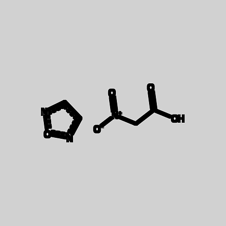 O=C(O)C[N+](=O)[O-].c1cnon1